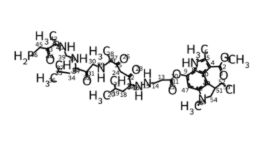 COC(=O)c1c(C)[nH]c2c(OC(=O)CCNN[C@@H](CC(C)C)C(=O)CC(=O)[C@H](C)NCC(=O)[C@H](CC(C)C)NCN[C@@H](C)C(=O)CP)cc3c(c12)C(CCl)CN3C